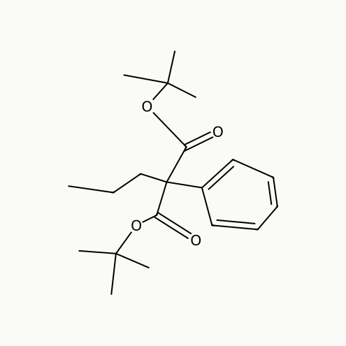 CCCC(C(=O)OC(C)(C)C)(C(=O)OC(C)(C)C)c1ccccc1